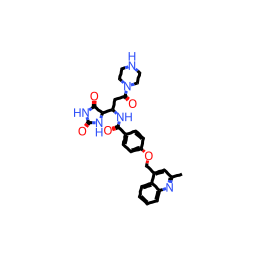 Cc1cc(COc2ccc(C(=O)NC(CC(=O)N3CCNCC3)C3NC(=O)NC3=O)cc2)c2ccccc2n1